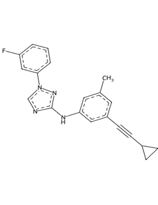 Cc1cc(C#CC2CC2)cc(Nc2ncn(-c3cccc(F)c3)n2)c1